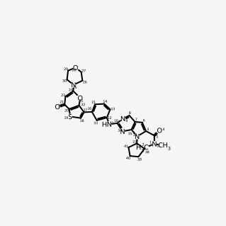 CN(C)C(=O)c1cc2cnc(Nc3cccc(-c4csc5c(=O)cc(N6CCOCC6)oc45)c3)nc2n1C1CCCC1